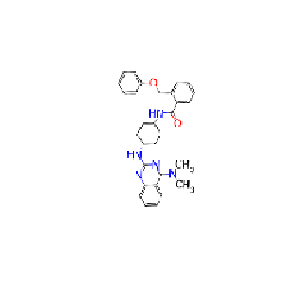 CN(C)c1nc(N[C@H]2CC[C@@H](NC(=O)c3ccccc3COc3ccccc3)CC2)nc2ccccc12